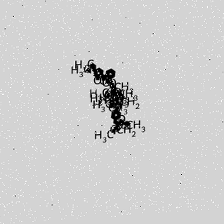 C=C(OCC)/C(=C/c1ccc(OCC(=C)[Si](C)(O[Si](C)(C)C)O[Si](C)(C)O[Si](C)(O[Si](C)(C)C)C(=C)COC(=O)c2ccccc2C(=O)c2ccc(N(CC)CC)cc2O)cc1)C(=O)OCC